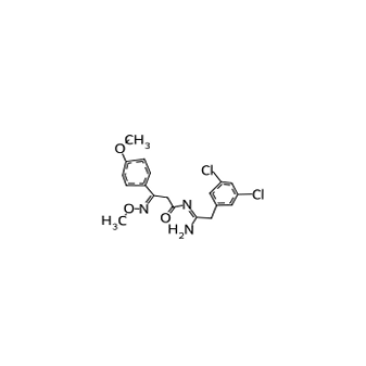 CON=C(CC(=O)N=C(N)Cc1cc(Cl)cc(Cl)c1)c1ccc(OC)cc1